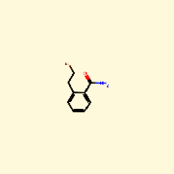 NC(=O)c1ccccc1CCBr